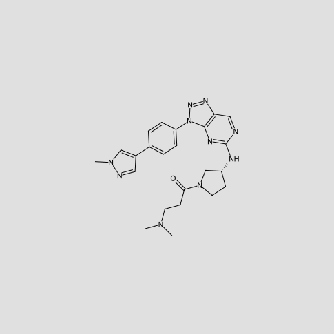 CN(C)CCC(=O)N1CC[C@@H](Nc2ncc3nnn(-c4ccc(-c5cnn(C)c5)cc4)c3n2)C1